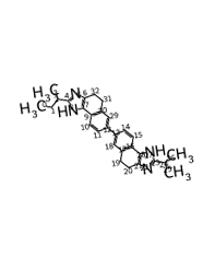 CCC(C)c1nc2c([nH]1)-c1ccc(-c3ccc4c(c3)CCc3nc(C(C)C)[nH]c3-4)cc1CC2